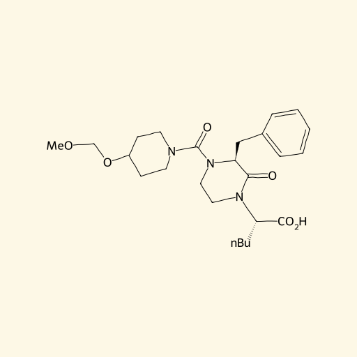 CCCC[C@@H](C(=O)O)N1CCN(C(=O)N2CCC(OCOC)CC2)[C@@H](Cc2ccccc2)C1=O